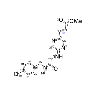 COC(=O)/C=C/c1cnc(NCC(=O)N(C)Cc2ccc(Cl)cc2)cn1